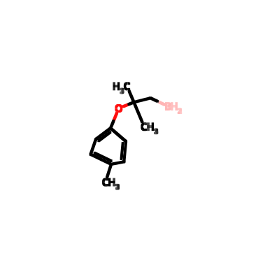 BCC(C)(C)Oc1ccc(C)cc1